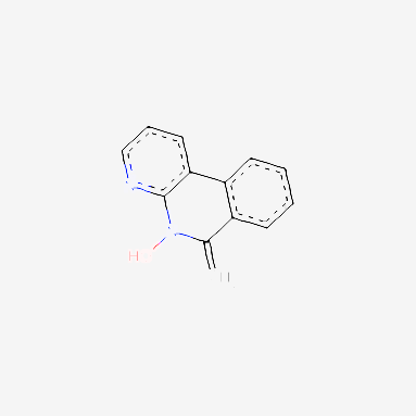 C=C1c2ccccc2-c2cccnc2N1O